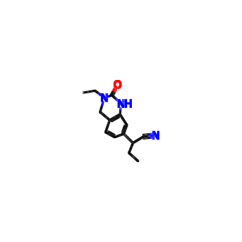 CCC(C#N)c1ccc2c(c1)NC(=O)N(CC)C2